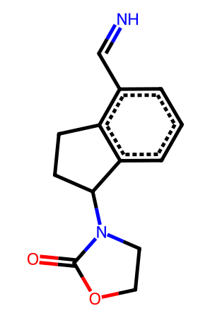 N=Cc1cccc2c1CCC2N1CCOC1=O